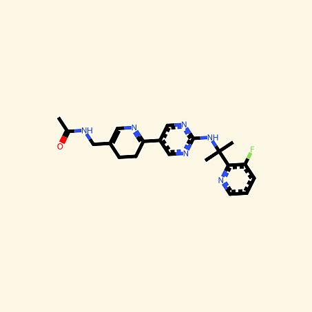 CC(=O)NCC1=CN=C(c2cnc(NC(C)(C)c3ncccc3F)nc2)CC1